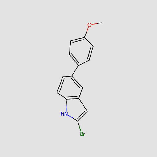 COc1ccc(-c2ccc3[nH]c(Br)cc3c2)cc1